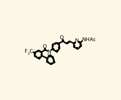 CC(=O)Nc1cccc(/C=C/C(=O)c2ccc(NC(=O)c3cc(C(F)(F)F)ccc3-c3ccccc3)cc2)n1